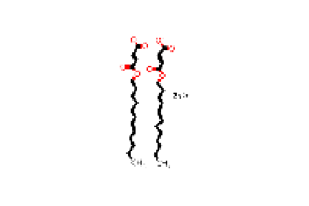 CCCCCCCCCCCCOC(=O)C=CC(=O)[O-].CCCCCCCCCCCCOC(=O)C=CC(=O)[O-].[Zn+2]